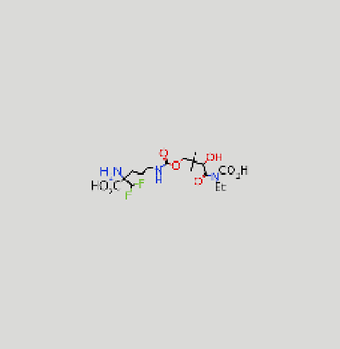 CCN(C(=O)O)C(=O)C(O)C(C)(C)COC(=O)NCCCC(N)(C(=O)O)C(F)F